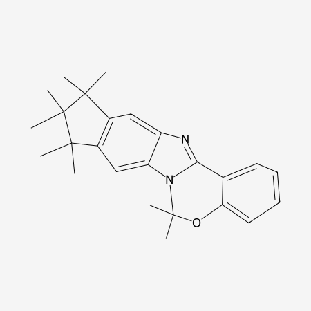 CC1(C)Oc2ccccc2-c2nc3cc4c(cc3n21)C(C)(C)C(C)(C)C4(C)C